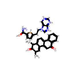 CC1C=c2c(ccc3c2=CC(=O)c2ccccc2-3)C(C)C1=O.NC(=O)c1ccc(CCn2cnc3ncncc32)s1